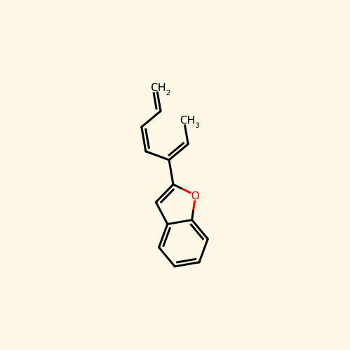 C=C/C=C\C(=C/C)c1cc2ccccc2o1